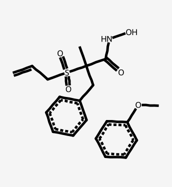 C=CCS(=O)(=O)C(C)(Cc1ccccc1)C(=O)NO.COc1ccccc1